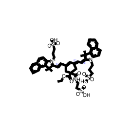 CCOC(=O)C1(C(=O)NCCS(=O)(=O)O)CC(/C=C/C2=[N+](CCCS(=O)(=O)O)c3ccc4ccccc4c3C2(C)C)=CC(=C/C=C2/N(CCCS(=O)(=O)O)c3ccc4ccccc4c3C2(C)C)/C1